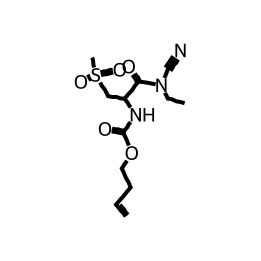 C=CCCOC(=O)NC(CS(C)(=O)=O)C(=O)N(C#N)CC